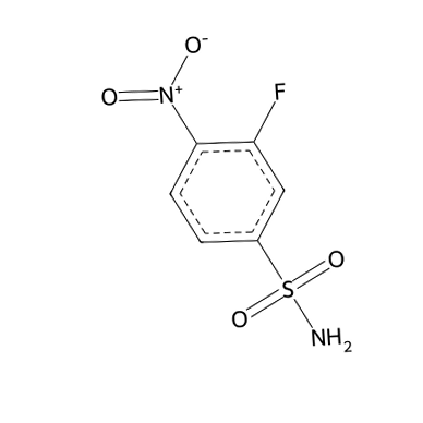 NS(=O)(=O)c1ccc([N+](=O)[O-])c(F)c1